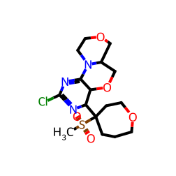 CS(=O)(=O)C1(C2N=C(Cl)N=C3C2OCC2COCCN32)CCCOCC1